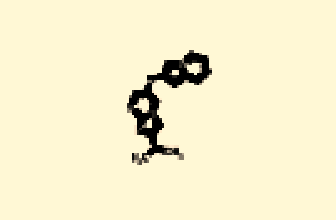 CC(C)c1cn2cc(Sc3cc4ccccn4c3)cnc2n1